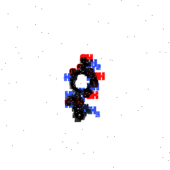 CC(O)[C@H]1C(=O)N[C@@H](CO)C(=O)N[C@H](CN[C@@H](CO)C(=O)N[C@@H](Cc2ccccc2)C(=O)N=NN)CCCCNC(=O)CC[C@H](NC(=O)[C@@H](N)CO)C(=O)N1C